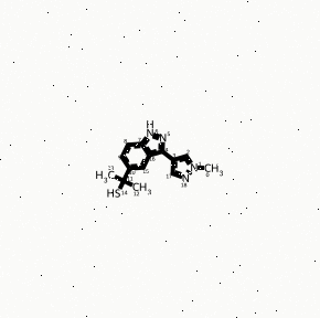 Cn1cc(-c2n[nH]c3ccc(C(C)(C)S)cc23)cn1